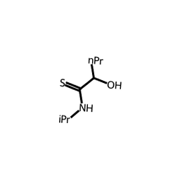 CCCC(O)C(=S)NC(C)C